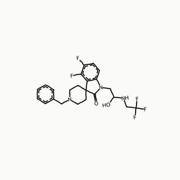 O=C1N(CC(O)NCC(F)(F)F)c2ccc(F)c(F)c2C12CCN(Cc1ccccc1)CC2